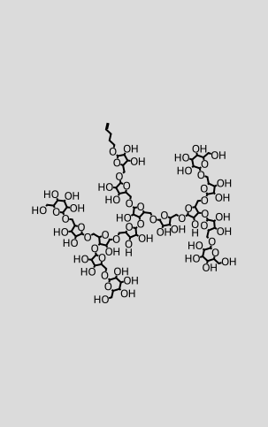 C=CCCCOC1OC(COC2OC(COC3OC(COC4OC(COC5OC(COC6OC(COC7OC(CO)C(O)C(O)C7O)C(O)C6O)C(OC6OC(COC7OC(CO)C(O)C(O)C7O)C(O)C6O)C5O)C(O)C4O)C(OC4OC(COC5OC(COC6OC(COC7OC(CO)C(O)C(O)C7O)C(O)C6O)C(OC6OC(COC7OC(CO)C(O)C(O)C7O)C(O)C6O)C5O)C(O)C4O)C3O)C(O)C2O)C(O)C1O